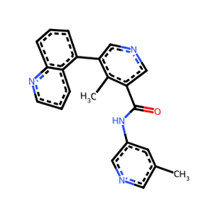 Cc1cncc(NC(=O)c2cncc(-c3cccc4ncccc34)c2C)c1